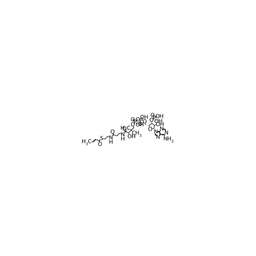 CC=CC(=O)SCCNC(=O)CCNC(=O)C(O)C(C)(C)COP(=O)(O)OP(=O)(O)OC[C@H]1O[C@@H](n2cnc3c(N)ncnc32)[C@H](O)[C@H]1OP(=O)(O)O